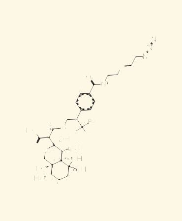 CC(=O)C([C@@H](C)OCC(c1ccc(C(=O)NCCOCCN=[N+]=[N-])cc1)C(F)(F)F)[C@]1(O)OC[C@]2(C)[C@H]([C@@H]1O)C(C)(C)CC[C@@H]2O